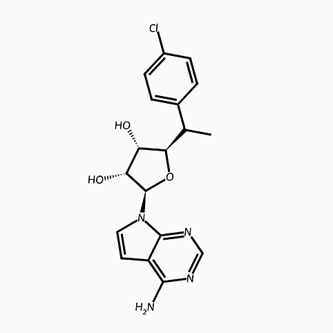 CC(c1ccc(Cl)cc1)[C@H]1O[C@@H](n2ccc3c(N)ncnc32)[C@H](O)[C@@H]1O